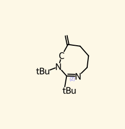 C=C1CCC/N=C(/C(C)(C)C)N(C(C)(C)C)C1